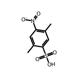 Cc1cc(S(=O)(=O)O)c(C)cc1[N+](=O)[O-]